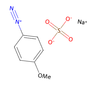 COc1ccc([N+]#N)cc1.O=S(=O)([O-])[O-].[Na+]